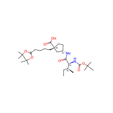 CC[C@H](C)[C@H](NC(=O)OC(C)(C)C)C(=O)N[C@H]1CC[C@@](CCCCB2OC(C)(C)C(C)(C)O2)(C(=O)O)C1